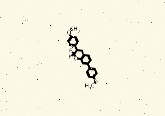 COc1ccc(-c2ccc3c(c2)OC(F)(F)C(c2ccc(OC)cc2)C3)cc1